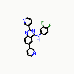 Fc1ccc(Nc2nc(-c3cccnc3)nc3ccc(C4C=CC=NC4)cc23)cc1F